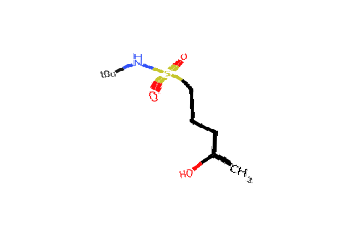 CC(O)CCCS(=O)(=O)NC(C)(C)C